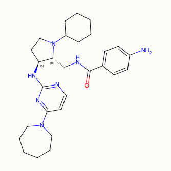 Nc1ccc(C(=O)NC[C@@H]2[C@@H](Nc3nccc(N4CCCCCC4)n3)CCN2C2CCCCC2)cc1